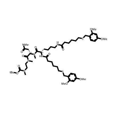 CNC(=O)C[C@@H](C(=O)N(C)CCN(C)C(=O)OC(C)(C)C)N(C)C(=O)[C@H](CCCCNC(=O)CCCCCSCc1ccc(OC)cc1OC)NC(=O)CCCCCSCc1ccc(OC)cc1OC